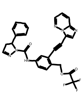 O=C(Nc1ccc(COC(=O)C(F)(F)F)c(C#Cc2cnc3cccnn23)c1)N1N=CCC1c1ccccc1